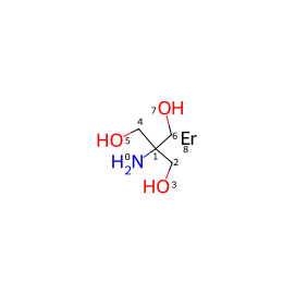 NC(CO)(CO)CO.[Er]